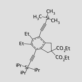 CCOC(=O)C1(C(=O)OCC)Cc2c(C#C[Si](C)(C)C)c(CC)c(CC)c(C#C[Si](C(C)C)(C(C)C)C(C)C)c2C1